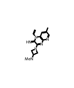 C=Cn1c(=N)c(N2CC(NC)C2)nc2ncc(C)cc21